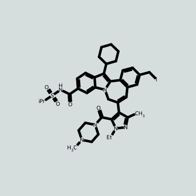 CCn1nc(C)c(C2=Cc3cc(CI)ccc3-c3c(C4CCCCC4)c4ccc(C(=O)NS(=O)(=O)C(C)C)cc4n3C2)c1C(=O)N1CCN(C)CC1